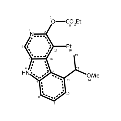 CCOC(=O)Oc1ncc2[nH]c3cccc(C(C)OC)c3c2c1CC